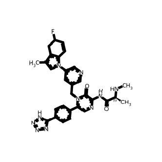 CN[C@@H](C)C(=O)Nc1ncc(-c2ccc(-c3nnn[nH]3)cc2)n(Cc2cncc(-n3cc(C)c4c3C=CC(F)C4)c2)c1=O